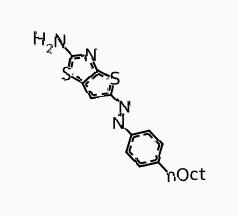 CCCCCCCCc1ccc(N=Nc2cc3sc(N)nc3s2)cc1